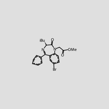 CC[C@H](C)C1N=C(c2ccccc2)c2cc(Br)ccc2N(CC(=O)OC)C1=O